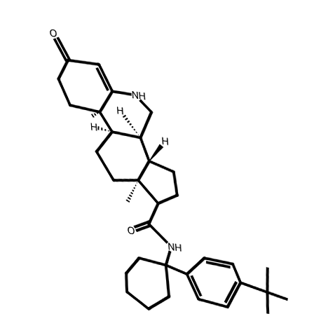 CC(C)(C)c1ccc(C2(NC(=O)C3CC[C@H]4[C@@H]5CNC6=CC(=O)CC[C@]6(C)[C@@H]5CC[C@]34C)CCCCC2)cc1